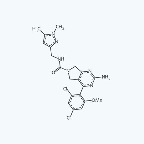 COc1cc(Cl)cc(Cl)c1-c1nc(N)nc2c1CN(C(=O)NCc1cc(C)n(C)n1)C2